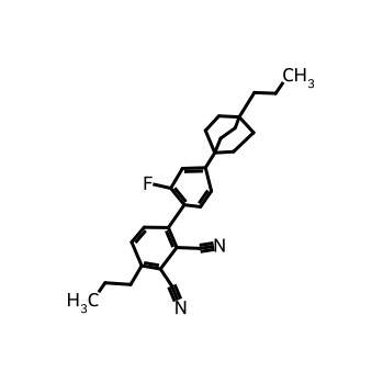 CCCc1ccc(-c2ccc(C34CCC(CCC)(CC3)CC4)cc2F)c(C#N)c1C#N